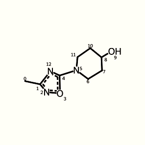 Cc1noc(N2CCC(O)CC2)n1